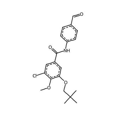 COc1c(Cl)cc(C(=O)Nc2ccc(C=O)cc2)cc1OCC(C)(C)C